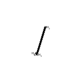 C[Si](C)(Cl)CCCCCCCCCCCCCCCCCCCCCCCCCCCCCCN